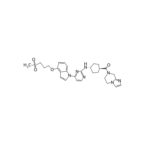 CS(=O)(=O)CCCOc1cccc2c1ccn2-c1ccnc(N[C@H]2CC[C@H](C(=O)N3CCn4ccnc4C3)CC2)n1